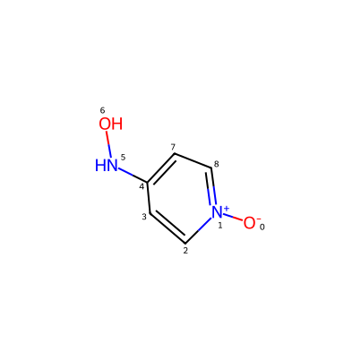 [O-][n+]1ccc(NO)cc1